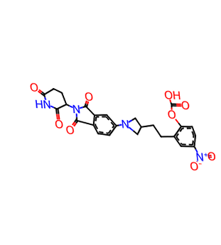 O=C1CCC(N2C(=O)c3ccc(N4CC(CCc5cc([N+](=O)[O-])ccc5OC(=O)O)C4)cc3C2=O)C(=O)N1